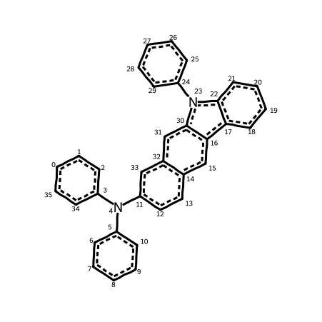 c1ccc(N(c2ccccc2)c2ccc3cc4c5ccccc5n(-c5ccccc5)c4cc3c2)cc1